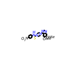 COc1cc2ncnc(N3CCN(C(=S)Nc4ccc([N+](=O)[O-])cc4)CC3)c2cc1OC